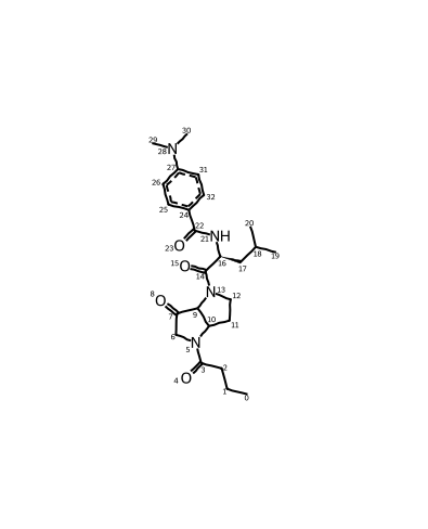 CCCC(=O)N1CC(=O)C2C1CCN2C(=O)[C@H](CC(C)C)NC(=O)c1ccc(N(C)C)cc1